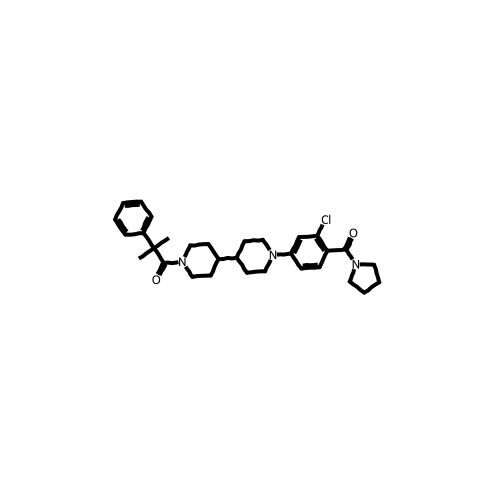 CC(C)(C(=O)N1CCC(C2CCN(c3ccc(C(=O)N4CCCC4)c(Cl)c3)CC2)CC1)c1ccccc1